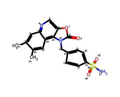 Cc1cc2ncc3oc(=O)n(Cc4ccc(S(N)(=O)=O)cc4)c3c2cc1C